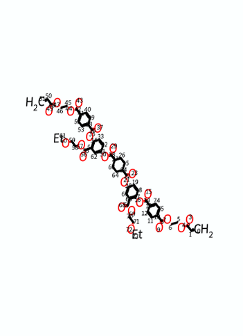 C=CC(=O)OCCOC(=O)c1ccc(C(=O)Oc2ccc(OC(=O)C3CCC(C(=O)Oc4ccc(OC(=O)c5ccc(C(=O)OCCOC(=O)C=C)cc5)c(C(=O)OCCOCC)c4)CC3)cc2C(=O)OCCOCC)cc1